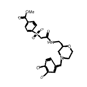 COC(=O)c1ccc(S(=O)(=O)CC(=O)NCC2CN(Cc3ccc(Cl)c(Cl)c3)CCO2)cc1